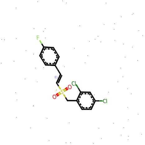 O=S(=O)(/C=C/c1ccc(F)cc1)Cc1ccc(Cl)cc1Cl